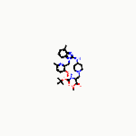 COC(=O)C(CN1CCC(Nc2nc3c(C)cccc3n2Cc2nc(C)ccc2O)CC1)NC(=O)OC(C)(C)C